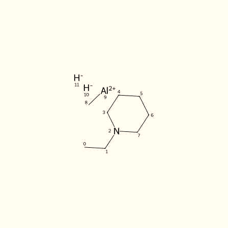 CCN1CCCCC1.[CH3][Al+2].[H-].[H-]